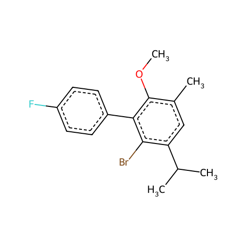 COc1c(C)cc(C(C)C)c(Br)c1-c1ccc(F)cc1